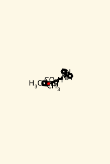 CC=C1C2C=C(C)C[C@]1(C(=O)O)CC(NCCCCCCCNc1c3c(nc4ccccc14)CCCC3)C2